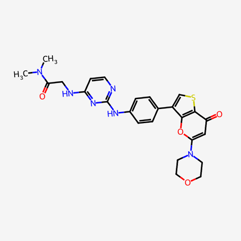 CN(C)C(=O)CNc1ccnc(Nc2ccc(-c3csc4c(=O)cc(N5CCOCC5)oc34)cc2)n1